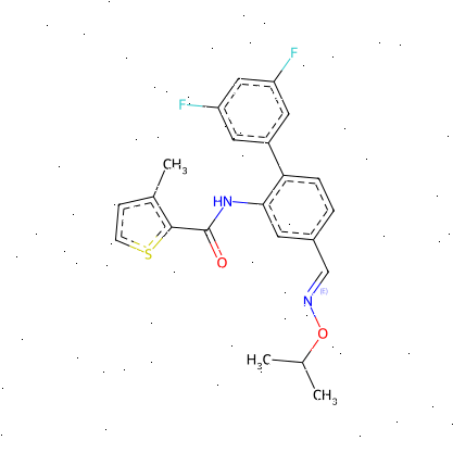 Cc1ccsc1C(=O)Nc1cc(/C=N/OC(C)C)ccc1-c1cc(F)cc(F)c1